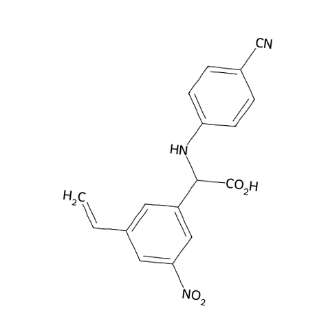 C=Cc1cc(C(Nc2ccc(C#N)cc2)C(=O)O)cc([N+](=O)[O-])c1